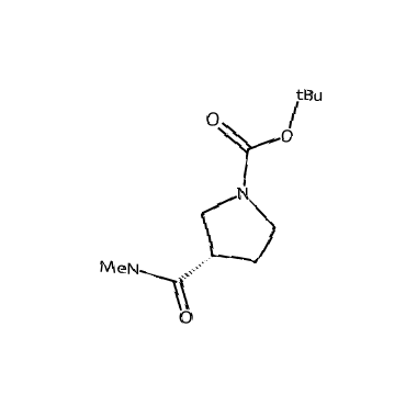 CNC(=O)[C@H]1CCN(C(=O)OC(C)(C)C)C1